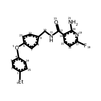 CCc1ccc(Oc2ccc(CNC(=O)c3ccc(F)nc3N)cc2)cc1